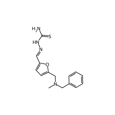 CN(Cc1ccccc1)Cc1ccc(C=NNC(N)=S)o1